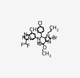 C=CCn1c(Br)nc(C(=O)OCC)c1C(Nc1cc(C)c2nnc(C(F)F)n2c1)c1ccc(Cl)cc1